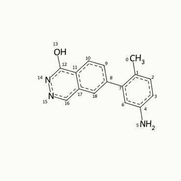 Cc1ccc(N)cc1-c1ccc2c(O)nncc2c1